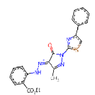 CCOC(=O)c1ccccc1N/N=C1/C(=O)N(c2nc(-c3ccccc3)cs2)N=C1C